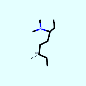 CCC(CC[C@@H](C)CC)N(C)C